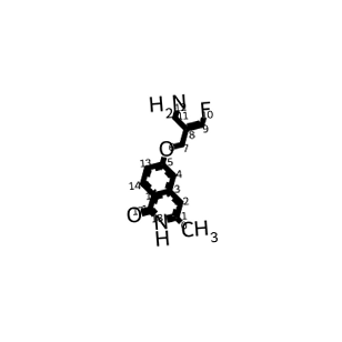 Cc1cc2cc(OC/C(=C/F)CN)ccc2c(=O)[nH]1